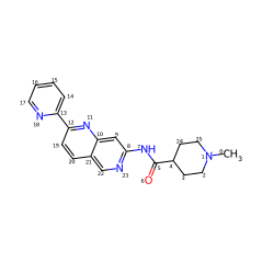 CN1CCC(C(=O)Nc2cc3nc(-c4ccccn4)ccc3cn2)CC1